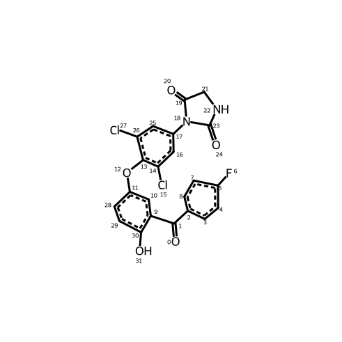 O=C(c1ccc(F)cc1)c1cc(Oc2c(Cl)cc(N3C(=O)CNC3=O)cc2Cl)ccc1O